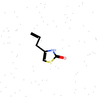 C=CCc1csc(=O)[nH]1